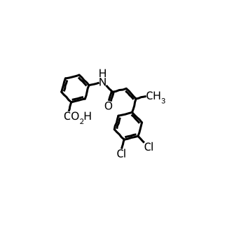 C/C(=C/C(=O)Nc1cccc(C(=O)O)c1)c1ccc(Cl)c(Cl)c1